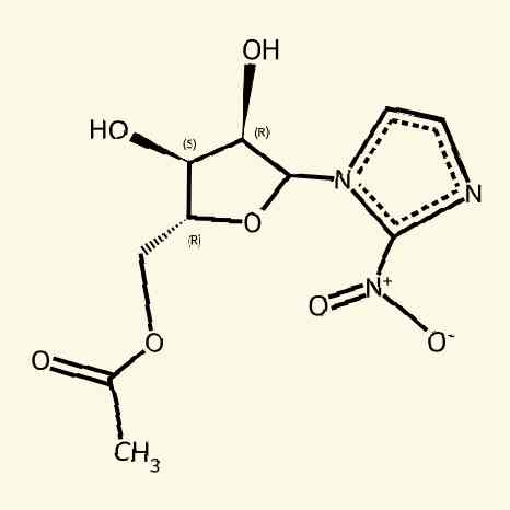 CC(=O)OC[C@H]1OC(n2ccnc2[N+](=O)[O-])[C@H](O)[C@@H]1O